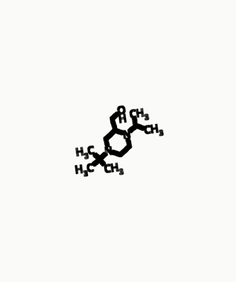 CC(C)N1CCN(C(C)(C)C)CC1CO